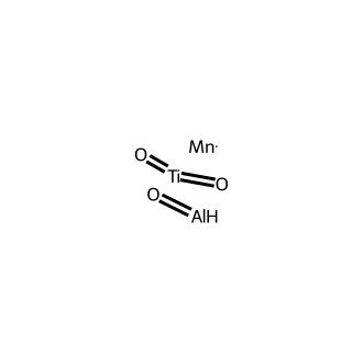 [Mn].[O]=[AlH].[O]=[Ti]=[O]